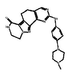 CN1CCN(c2ccc(Nc3ncc4c(n3)-c3nn5c(c3CC4)C(=O)NCC5)cc2)CC1